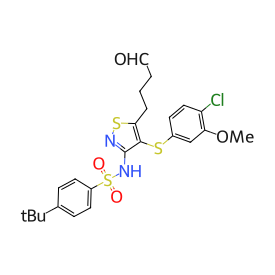 COc1cc(Sc2c(NS(=O)(=O)c3ccc(C(C)(C)C)cc3)nsc2CCCC=O)ccc1Cl